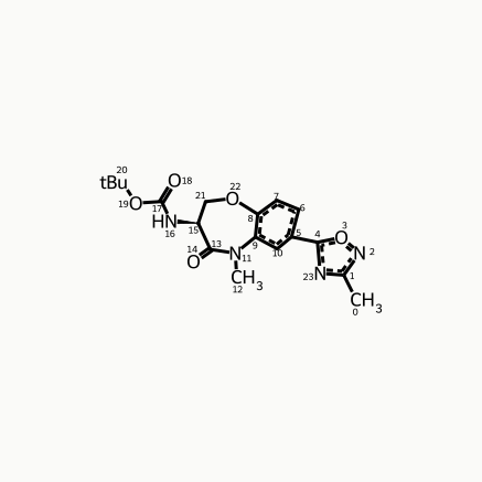 Cc1noc(-c2ccc3c(c2)N(C)C(=O)[C@@H](NC(=O)OC(C)(C)C)CO3)n1